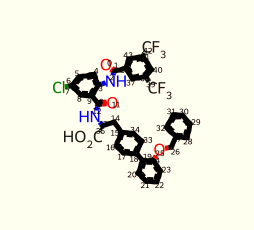 O=C(Nc1ccc(Cl)cc1C(=O)N[C@@H](Cc1ccc(-c2ccccc2OCc2ccccc2)cc1)C(=O)O)c1cc(C(F)(F)F)cc(C(F)(F)F)c1